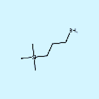 BCCC[Si](C)(C)C